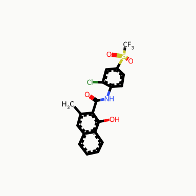 Cc1cc2ccccc2c(O)c1C(=O)Nc1ccc(S(=O)(=O)C(F)(F)F)cc1Cl